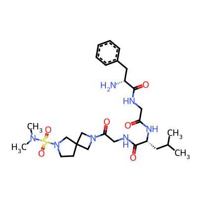 CC(C)C[C@@H](NC(=O)CNC(=O)[C@H](N)Cc1ccccc1)C(=O)NCC(=O)N1CC2(CCN(S(=O)(=O)N(C)C)C2)C1